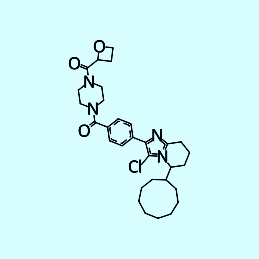 O=C(c1ccc(-c2nc3n(c2Cl)C(C2CCCCCCCC2)CCC3)cc1)N1CCN(C(=O)C2CCO2)CC1